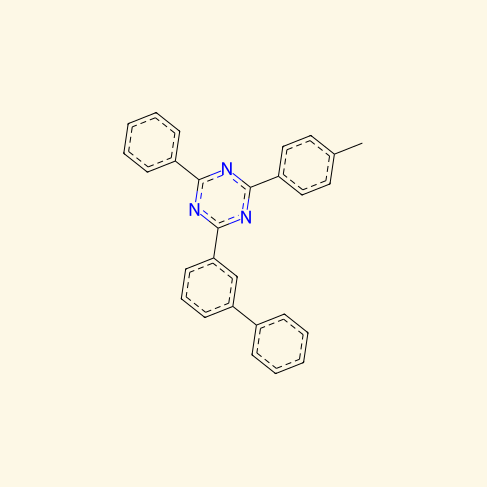 Cc1ccc(-c2nc(-c3ccccc3)nc(-c3cccc(-c4ccccc4)c3)n2)cc1